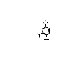 O=C(O)c1cc(S(=O)(=O)O)ccc1I(=O)=O